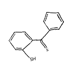 S=C(c1ccccc1)c1ccccc1S